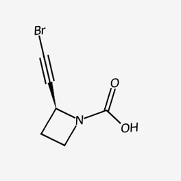 O=C(O)N1CC[C@H]1C#CBr